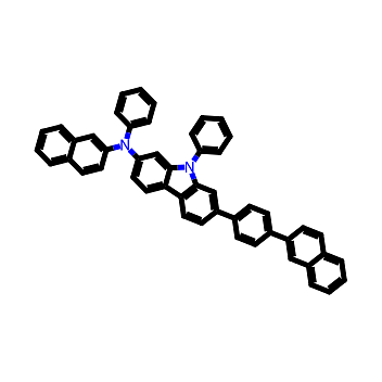 c1ccc(N(c2ccc3ccccc3c2)c2ccc3c4ccc(-c5ccc(-c6ccc7ccccc7c6)cc5)cc4n(-c4ccccc4)c3c2)cc1